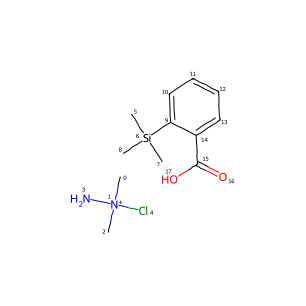 C[N+](C)(N)Cl.C[Si](C)(C)c1ccccc1C(=O)O